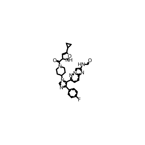 O=CNc1cn2nc(-c3c(-c4ccc(F)cc4)ncn3C3CCN(C(=O)C4C=C(C5CC5)ON4)CC3)ccc2n1